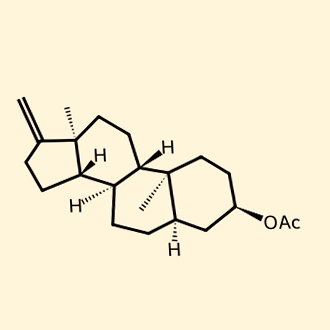 C=C1CC[C@H]2[C@@H]3CC[C@@H]4C[C@H](OC(C)=O)CC[C@]4(C)[C@H]3CC[C@]12C